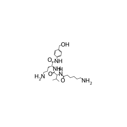 CC(C)C(NC(=O)CCCCCN)C(=O)N[C@@H](CCCN)C(=O)Nc1ccc(CO)cc1